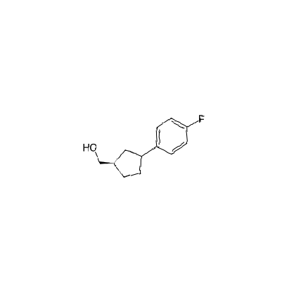 OC[C@@H]1CCC(c2ccc(F)cc2)C1